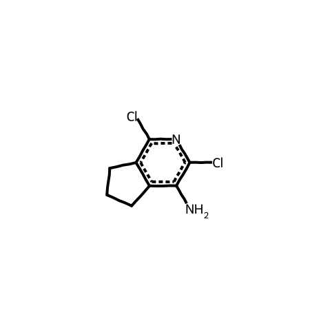 Nc1c(Cl)nc(Cl)c2c1CCC2